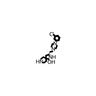 OC1N[C@@H](CCN2CCN(c3cccc(Cl)c3)CC2)CC12CCNCC2